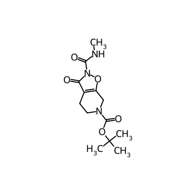 CNC(=O)n1oc2c(c1=O)CCN(C(=O)OC(C)(C)C)C2